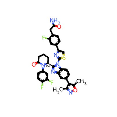 Cc1noc(C)c1-c1ccc2c(c1)nc([C@@H]1CCCC(=O)N1c1ccc(F)c(F)c1)n2-c1nc(-c2ccc(CC(N)=O)c(F)c2)cs1